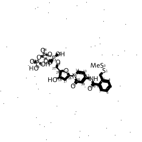 CSSCc1ccccc1C(=O)Nc1ccn([C@H]2C[C@@H](O)[C@@H](COP(=O)(O)OP(=O)(O)OP(=O)(O)O)O2)c(=O)c1